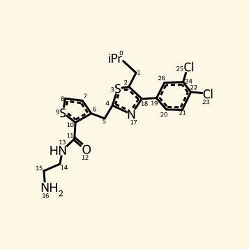 CC(C)Cc1sc(Cc2ccsc2C(=O)NCCN)nc1-c1ccc(Cl)c(Cl)c1